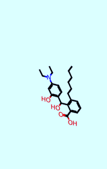 CCCCCCc1cccc(C(=O)O)c1C(O)c1ccc(N(CC)CC)cc1O